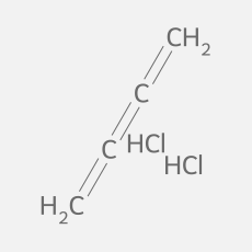 C=C=C=C.Cl.Cl